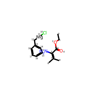 CCOC(=O)C(N)=C(C)C.[Cl][Mg][CH2]c1ccccc1